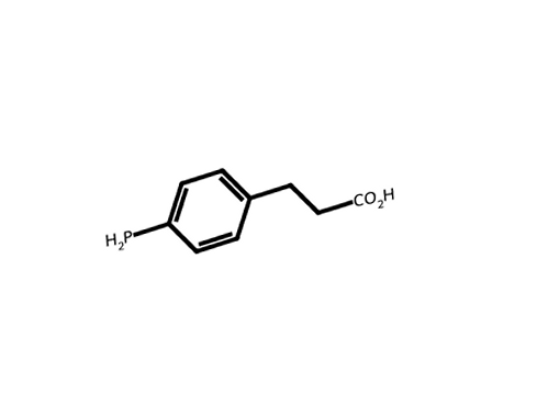 O=C(O)CCc1ccc(P)cc1